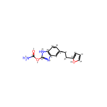 NC(=O)Oc1nc2cc(CCc3ccco3)ccc2[nH]1